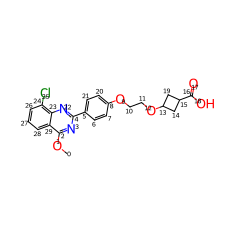 COc1nc(-c2ccc(OCCOC3CC(C(=O)O)C3)cc2)nc2c(Cl)cccc12